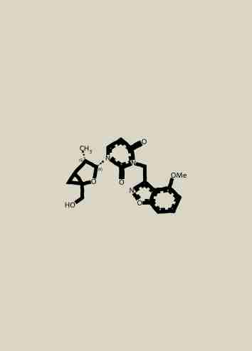 COc1cccc2onc(Cn3c(=O)ccn([C@@H]4OC5(CO)CC5[C@@H]4C)c3=O)c12